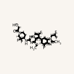 COc1nc(N[C@@H]2CCN(C(=O)CO)CC2(F)F)nn2cc(F)c(-c3cc(F)c4nc(C)n(CC(F)F)c4c3)c12